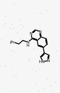 CC(C)CCNc1ncnc2ccc(-c3cn[nH]c3)cc12